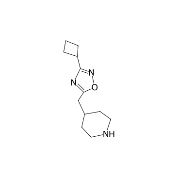 C1CC(c2noc(CC3CCNCC3)n2)C1